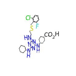 O=C(O)C1CCC(Nc2nc(NCCSCc3c(F)cccc3Cl)nc(NC3CCCCC3)n2)CC1